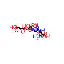 N[C@@H](CC(=O)Nc1ccn([C@@H]2O[C@H](COC(=O)CCCC(=O)O)C(O)C2O)c(=O)n1)C(=O)O